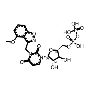 COc1cccc2onc(Cn3c(=O)ccn([C@@H]4O[C@H](COP(=O)(O)OP(=O)(O)O)C(O)[C@@H]4O)c3=O)c12